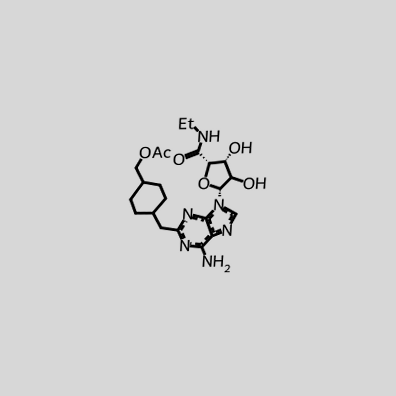 CCNC(=O)[C@H]1O[C@@H](n2cnc3c(N)nc(CC4CCC(COC(C)=O)CC4)nc32)C(O)[C@H]1O